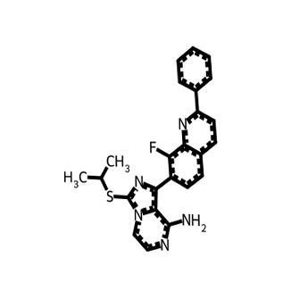 CC(C)Sc1nc(-c2ccc3ccc(-c4ccccc4)nc3c2F)c2c(N)nccn12